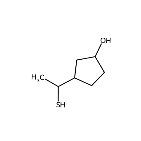 CC(S)C1CCC(O)C1